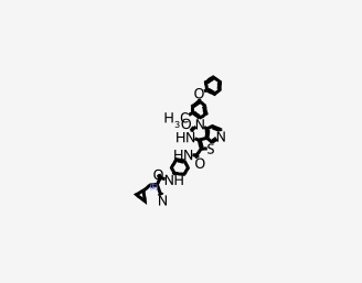 Cc1cc(Oc2ccccc2)ccc1N1C(=O)Nc2c(C(=O)NC3=CCC(NC(=O)/C(C#N)=C/C4CC4)CC3)sc3nccc1c23